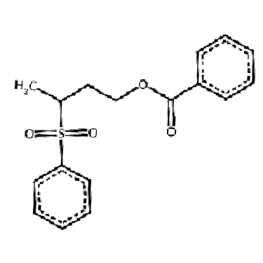 CC(CCOC(=O)c1ccccc1)S(=O)(=O)c1ccccc1